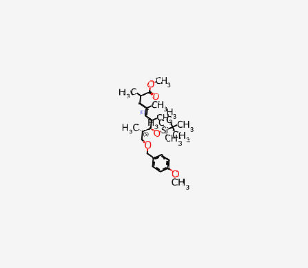 COC(=O)C(C)C/C(C)=C/C(C)C(O[Si](C)(C)C(C)(C)C)[C@@H](C)COCc1ccc(OC)cc1